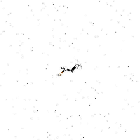 C=C[14CH2][S]